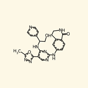 Cc1nnc(-c2cnc(Nc3ccc4c(c3)CCNC4=O)nc2NC(CO)c2ccncc2)o1